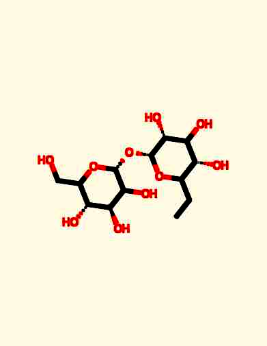 CCC1O[C@H](O[C@H]2OC(CO)[C@@H](O)[C@H](O)C2O)[C@H](O)C(O)[C@@H]1O